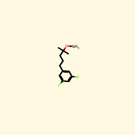 CC(C)(CCCc1cc(F)cc(F)c1)O[SiH3]